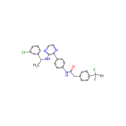 CCC(F)(F)c1ccc(CC(=O)Nc2ccc(-c3nccnc3NC(C)c3cccc(Cl)c3)cc2)cc1